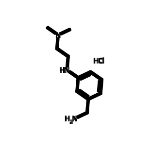 CN(C)CCNc1cccc(CN)c1.Cl